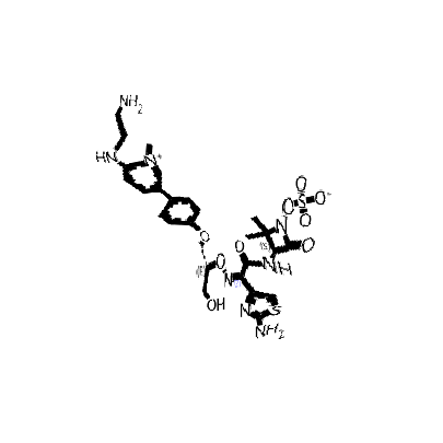 C[n+]1cc(-c2ccc(OC[C@@H](CO)O/N=C(\C(=O)N[C@@H]3C(=O)N(OS(=O)(=O)[O-])C3(C)C)c3csc(N)n3)cc2)ccc1NCCN